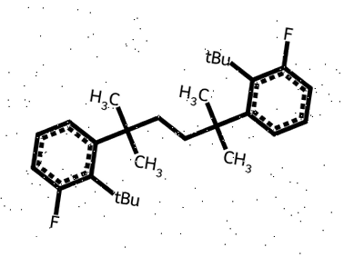 CC(C)(C)c1c(F)cccc1C(C)(C)CCC(C)(C)c1cccc(F)c1C(C)(C)C